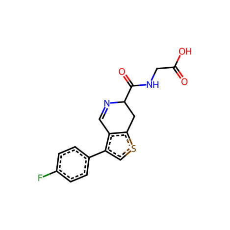 O=C(O)CNC(=O)C1Cc2scc(-c3ccc(F)cc3)c2C=N1